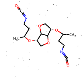 CC(CCN=C=O)O[C@H]1COC2C1OC[C@@H]2OC(C)CCN=C=O